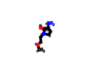 COCCN1CC[C@H](N)C1=O